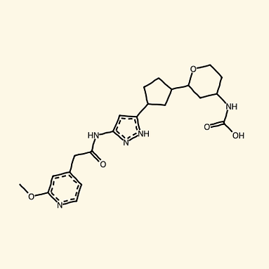 COc1cc(CC(=O)Nc2cc(C3CCC(C4CC(NC(=O)O)CCO4)C3)[nH]n2)ccn1